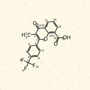 Cc1c(-c2ccc(C(F)(F)F)cc2)oc2c(C(=O)O)cccc2c1=O